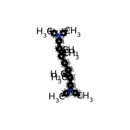 Cc1ccc(N(c2ccc(C)cc2)c2ccc(-c3ccc4c(c3)C(C)(C)c3cc(-c5ccc(-c6ccc7c(c6)C(C)(C)c6cc(-c8ccc(N(c9ccc(C)cc9)c9ccc(C)cc9)cc8)ccc6-7)cc5)ccc3-4)cc2)cc1